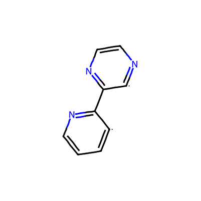 [c]1cccnc1-c1[c]nccn1